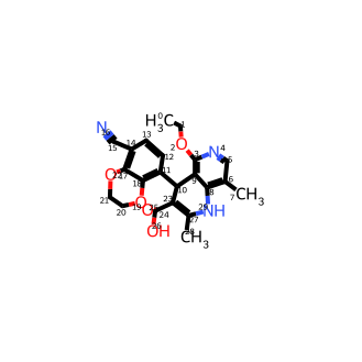 CCOc1ncc(C)c2c1C(c1ccc(C#N)c3c1OCCO3)C(C(=O)O)=C(C)N2